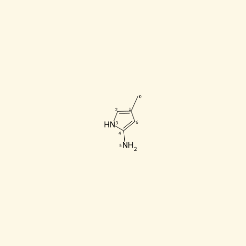 Cc1c[nH]c(N)c1